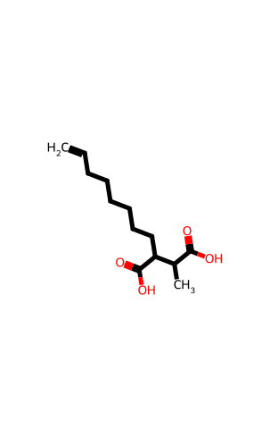 C=CCCCCCCC(C(=O)O)C(C)C(=O)O